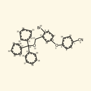 N#Cc1ccc(Oc2ccc(Br)c(COC(c3ccccc3)(c3ccccc3)c3ccccc3)c2)cc1